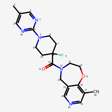 Cc1cnc(N2CCC(F)(C(=O)N3CCOc4c(C#N)cncc4C3)CC2)nc1